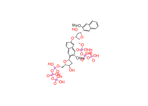 COc1cc2cc(O[C@@H]3[C@H](O)[C@H](c4cc5ccccc5cc4OC)O[C@@H]3COP(=O)(O)OP(=O)(O)OP(=O)(O)O)ccc2cc1[C@H]1C[C@@H](O)[C@@H](COP(=O)(O)OP(=O)(O)OP(=O)(O)O)O1